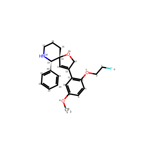 FCCOc1ccc(OC(F)(F)F)cc1C1=C[C@@]2(CCCN[C@H]2c2ccccc2)OC1